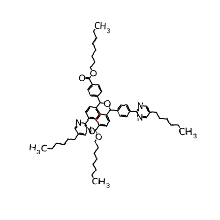 CCCCCCCCOC(=O)c1ccc(C(OC(c2ccc(C(=O)OCCCCCCCC)cc2)c2ccc(-c3ncc(CCCCCC)cn3)cc2)c2ccc(-c3ncc(CCCCCC)cn3)cc2)cc1